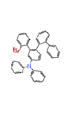 Brc1ccccc1-c1cc(N(c2ccccc2)c2ccccc2)ccc1-c1ccccc1-c1ccccc1